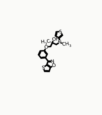 CN(C[C@](C)(O)COc1cccc(-c2noc3ccsc23)c1)c1ccsc1